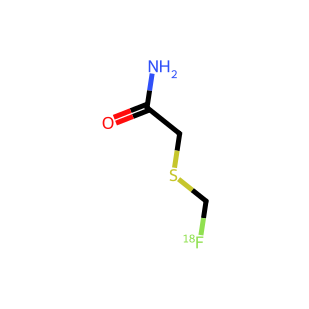 NC(=O)CSC[18F]